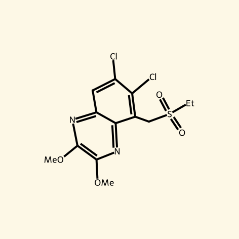 CCS(=O)(=O)Cc1c(Cl)c(Cl)cc2nc(OC)c(OC)nc12